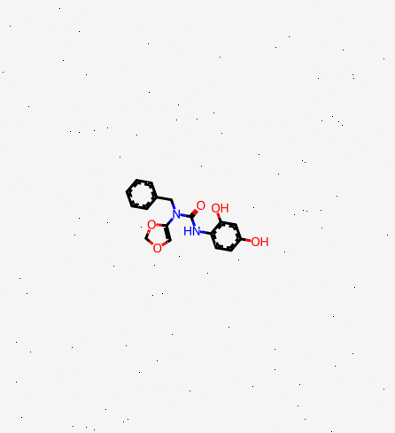 O=C(Nc1ccc(O)cc1O)N(Cc1ccccc1)C1=COCO1